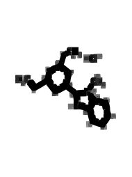 C=Cc1cc(CC)cc(-c2nc3ccccc3n2C)c1.Cl